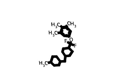 Cc1cc(OC(F)(F)C2CCC(CC3CCC(C)CC3)CC2)cc(C)c1C